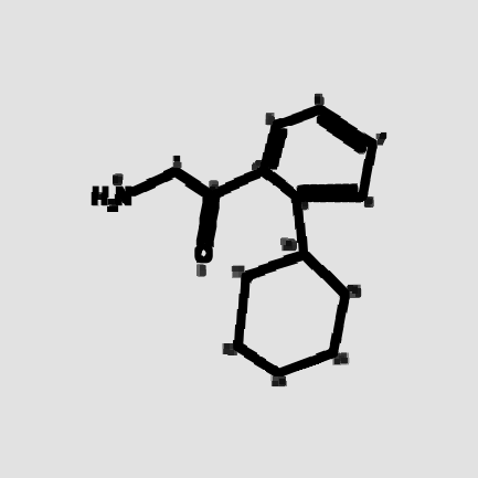 NCC(=O)c1ccccc1C1CCCCC1